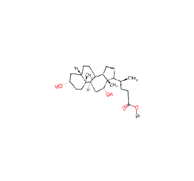 CC(C)OC(=O)CC[C@H](C)C1CCC2C3CC[C@H]4C[C@@H](O)CC[C@@]4(C)[C@@H]3C[C@@H](O)[C@]21C